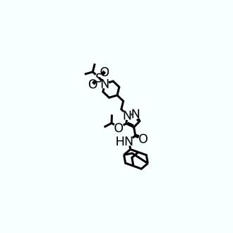 CC(C)Oc1c(C(=O)NC2C3CC4CC(C3)CC2C4)cnn1CCC1CCN(S(=O)(=O)C(C)C)CC1